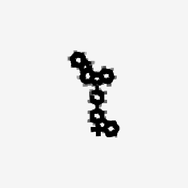 CC1(C)c2ccccc2-c2cc(-c3ccc(-n4c5ccccc5c5c6sc7ccccc7c6ccc54)nc3)ccc21